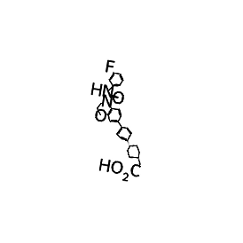 O=C(O)C[C@H]1CC[C@H](c2ccc(-c3ccc4c(c3)OCCN4C(=O)Nc3cccc(F)c3)cc2)CC1